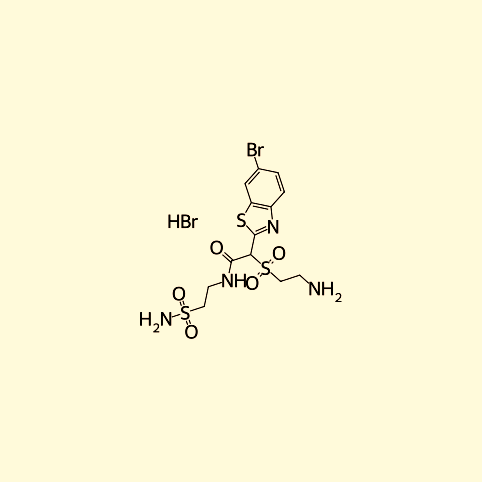 Br.NCCS(=O)(=O)C(C(=O)NCCS(N)(=O)=O)c1nc2ccc(Br)cc2s1